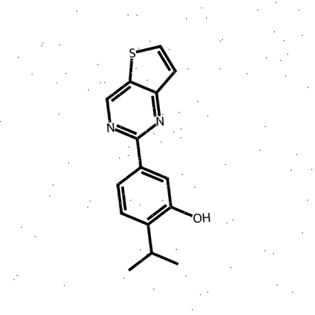 CC(C)c1ccc(-c2ncc3sccc3n2)cc1O